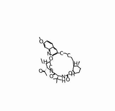 CC[C@@H]1[C@@H]2CN(C(=O)[C@H](C(C)(C)C)NC(=O)O[C@@H]3CCC[C@H](C)[C@H]3CCCCCc3cc4ccc(OC)cc4nc3O2)[C@@H]1C(C)=O